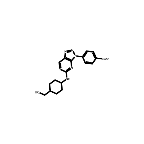 COc1ccc(-n2nnc3cnc(NC4CCC(CO)CC4)nc32)cc1